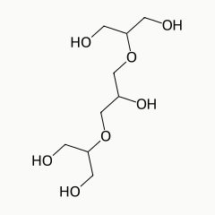 OCC(CO)OCC(O)COC(CO)CO